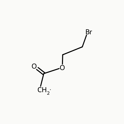 [CH2]C(=O)OCCBr